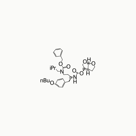 CCCCOc1ccc(C[C@@H](CCN(CC(C)C)C(=O)OCc2ccccc2)NC(=O)O[C@H]2CO[C@H]3OCC[C@H]32)cc1